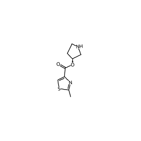 Cc1nc(C(=O)O[C@H]2CCNC2)cs1